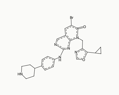 O=c1c(Br)cc2cnc(Nc3ccc(C4CCNCC4)cc3)nc2n1Cc1ncoc1C1CC1